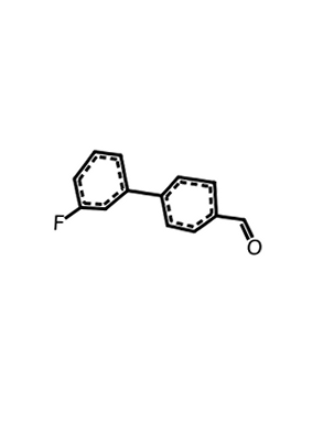 O=Cc1ccc(-c2cccc(F)c2)cc1